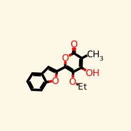 CCOc1c(-c2cc3ccccc3o2)oc(=O)c(C)c1O